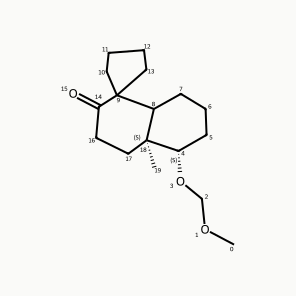 COCO[C@H]1CCCC2C3(CCCC3)C(=O)CC[C@@]21C